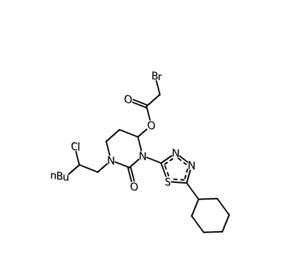 CCCCC(Cl)CN1CCC(OC(=O)CBr)N(c2nnc(C3CCCCC3)s2)C1=O